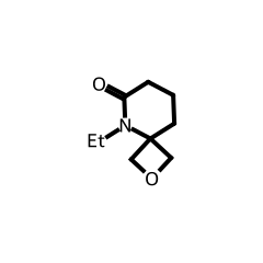 CCN1C(=O)CCCC12COC2